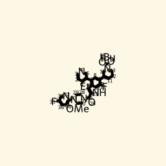 CCc1ccncc1-c1cc(C2=CCCN(C(=O)OC(C)(C)C)C2)c(F)c2[nH]c(C(=O)N3CCN(c4ncc(F)cc4OC)CC3)cc12